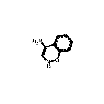 NC1=CNOc2ccccc21